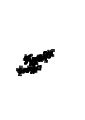 Cc1ccc(C)n1-c1nc(-c2c(Cl)cnn2COCC[Si](C)(C)C)cc(N2CC[C@@H](N(C)C(=O)OC(C)(C)C)C2)n1